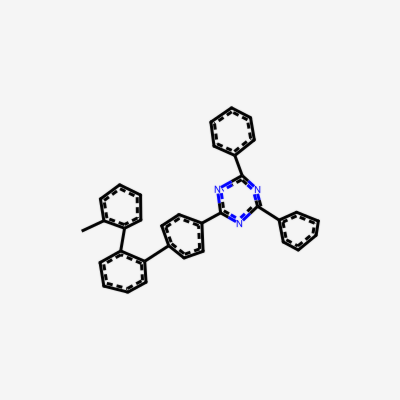 Cc1ccccc1-c1ccccc1-c1ccc(-c2nc(-c3ccccc3)nc(-c3ccccc3)n2)cc1